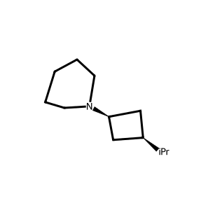 CC(C)[C@H]1C[C@@H](N2CCCCC2)C1